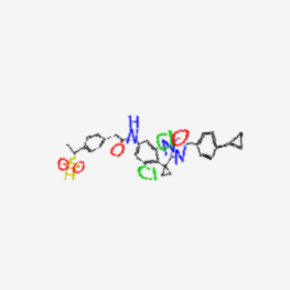 CC(c1ccc(CC(=O)Nc2cc(Cl)c(C3(c4noc(-c5ccc(C6CC6)cc5)n4)CC3)c(Cl)c2)cc1)[SH](=O)=O